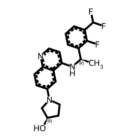 C[C@@H](Nc1ccnc2ccc(N3CC[C@@H](O)C3)cc12)c1cccc(C(F)F)c1F